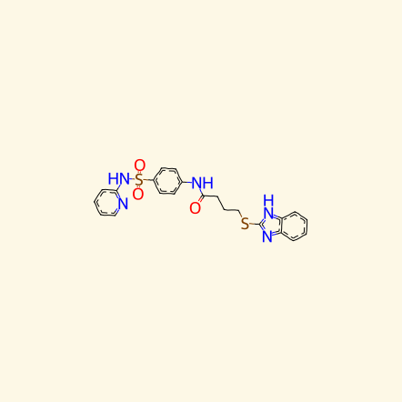 O=C(CCCSc1nc2ccccc2[nH]1)Nc1ccc(S(=O)(=O)Nc2ccccn2)cc1